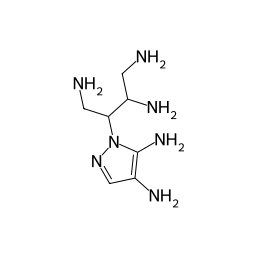 NCC(N)C(CN)n1ncc(N)c1N